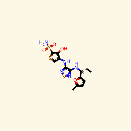 CC[C@@H](Nc1nsnc1Nc1csc(S(N)(=O)=O)c1O)c1ccc(C)o1